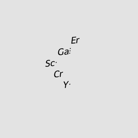 [Cr].[Er].[Ga].[Sc].[Y]